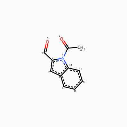 CC(=O)n1c([C]=O)cc2ccccc21